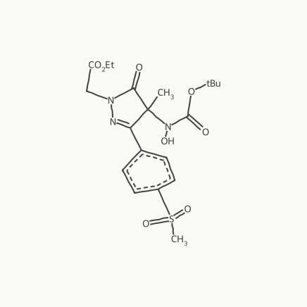 CCOC(=O)CN1N=C(c2ccc(S(C)(=O)=O)cc2)C(C)(N(O)C(=O)OC(C)(C)C)C1=O